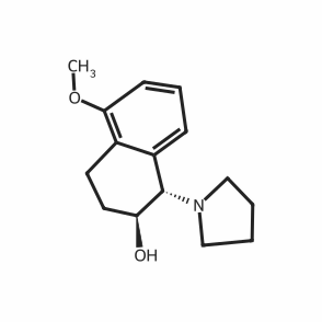 COc1cccc2c1CC[C@H](O)[C@H]2N1CCCC1